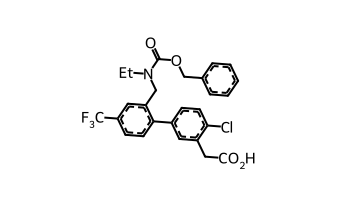 CCN(Cc1cc(C(F)(F)F)ccc1-c1ccc(Cl)c(CC(=O)O)c1)C(=O)OCc1ccccc1